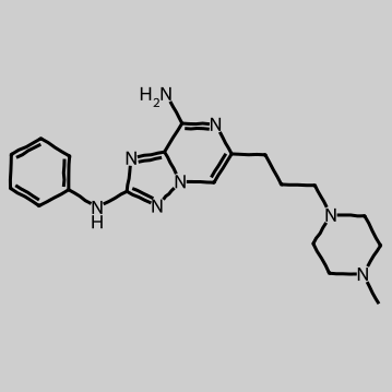 CN1CCN(CCCc2cn3nc(Nc4ccccc4)nc3c(N)n2)CC1